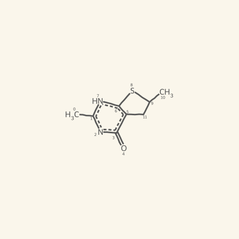 Cc1nc(=O)c2c([nH]1)SC(C)C2